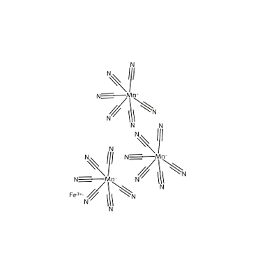 N#[C][Mn-]([C]#N)([C]#N)([C]#N)([C]#N)[C]#N.N#[C][Mn-]([C]#N)([C]#N)([C]#N)([C]#N)[C]#N.N#[C][Mn-]([C]#N)([C]#N)([C]#N)([C]#N)[C]#N.[Fe+3]